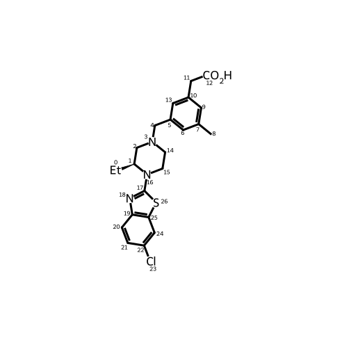 CC[C@H]1CN(Cc2cc(C)cc(CC(=O)O)c2)CCN1c1nc2ccc(Cl)cc2s1